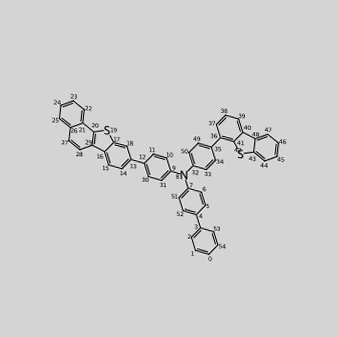 c1ccc(-c2ccc(N(c3ccc(-c4ccc5c(c4)sc4c6ccccc6ccc54)cc3)c3ccc(-c4cccc5c4sc4ccccc45)cc3)cc2)cc1